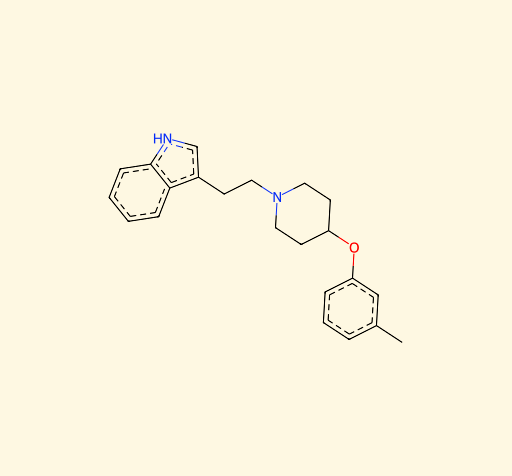 Cc1cccc(OC2CCN(CCc3c[nH]c4ccccc34)CC2)c1